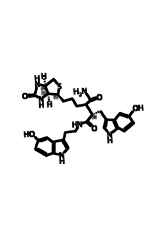 NC(=O)C(CCC[C@@H]1SC[C@@H]2NC(=O)N[C@@H]21)[C@H](Cc1c[nH]c2ccc(O)cc12)C(=O)NCCc1c[nH]c2ccc(O)cc12